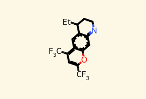 CCC1CCN=c2cc3c(cc21)=C(C(F)(F)F)C=C(C(F)(F)F)O3